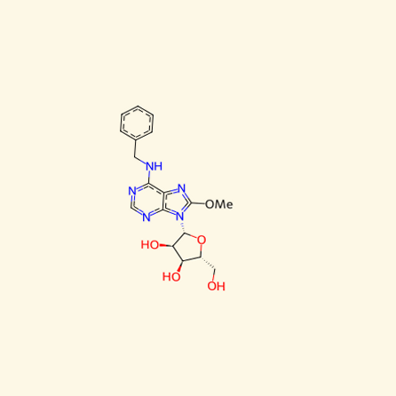 COc1nc2c(NCc3ccccc3)ncnc2n1[C@@H]1O[C@H](CO)[C@@H](O)[C@H]1O